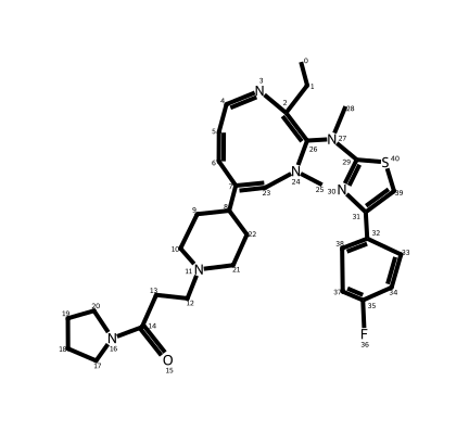 CCc1ncccc(C2CCN(CCC(=O)N3CCCC3)CC2)cn(C)c1N(C)c1nc(-c2ccc(F)cc2)cs1